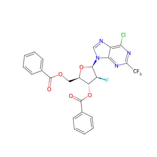 O=C(OC[C@H]1O[C@@H](n2cnc3c(Cl)nc(C(F)(F)F)nc32)[C@@H](F)[C@@H]1OC(=O)c1ccccc1)c1ccccc1